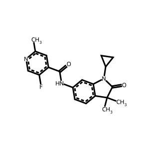 Cc1cc(C(=O)Nc2ccc3c(c2)N(C2CC2)C(=O)C3(C)C)c(F)cn1